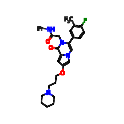 CC(C)NC(=O)Cn1c(-c2ccc(F)c(C(F)(F)F)c2)cn2cc(OCCCN3CCCCC3)cc2c1=O